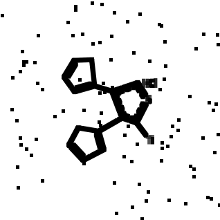 Cl.[Ti][c]1scc(C2=CC=CC2)c1C1=CC=CC1